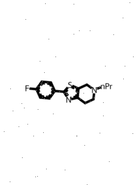 CCCN1CCc2nc(-c3ccc(F)cc3)sc2C1